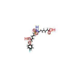 O=C(O)CCCCCCNS(=O)(=O)CCCCC(O)COc1ccc(F)cc1